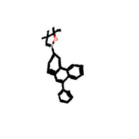 CC1(C)CB(c2ccc3cc(-c4ccccc4)c4ccccc4c3c2)OC1(C)C